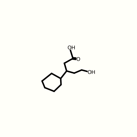 O=C(O)CC(CCO)C1CCCCC1